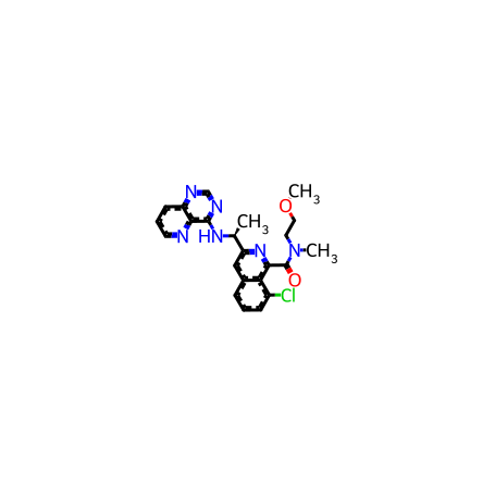 COCCN(C)C(=O)c1nc([C@H](C)Nc2ncnc3cccnc23)cc2cccc(Cl)c12